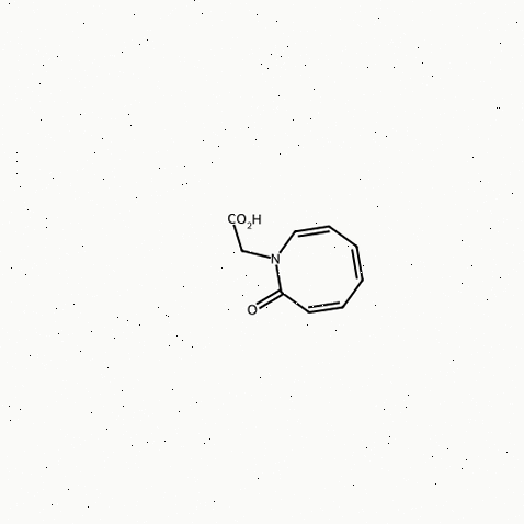 O=C(O)CN1C=CC=CC=CC1=O